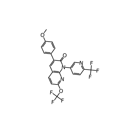 COc1ccc(-c2cc3ccc(OC(F)(F)F)nc3n(-c3ccc(C(F)(F)F)nc3)c2=O)cc1